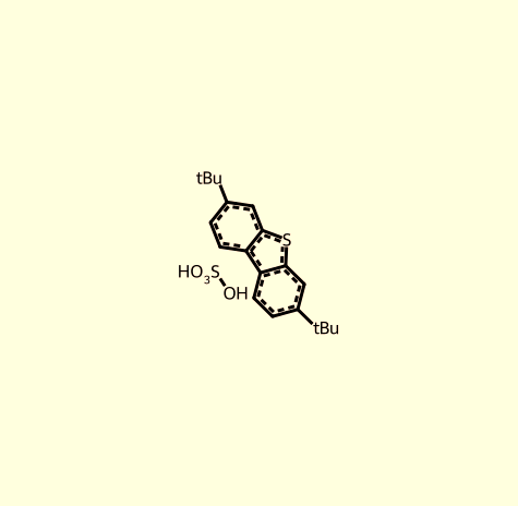 CC(C)(C)c1ccc2c(c1)sc1cc(C(C)(C)C)ccc12.O=S(=O)(O)O